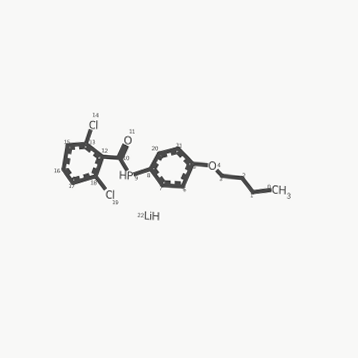 CCCCOc1ccc(PC(=O)c2c(Cl)cccc2Cl)cc1.[LiH]